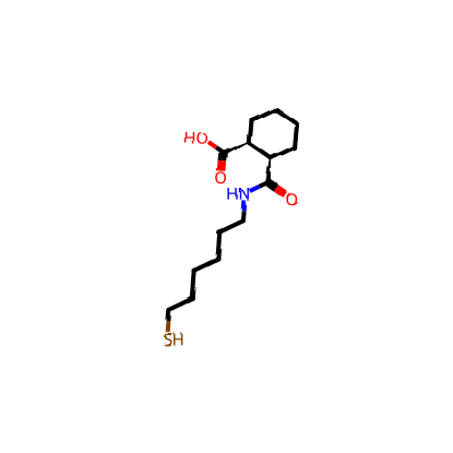 O=C(O)[C@H]1CCCC[C@H]1C(=O)NCCCCCCS